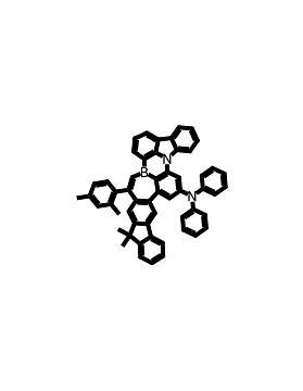 Cc1ccc(C2=CB3c4c(cc(N(c5ccccc5)c5ccccc5)cc4-n4c5ccccc5c5cccc3c54)-c3cc4c(cc32)C(C)(C)c2ccccc2-4)c(C)c1